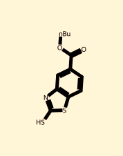 CCCCOC(=O)c1ccc2sc(S)nc2c1